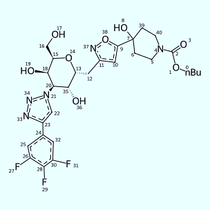 CCCCOC(=O)N1CCC(O)(c2cc(C[C@H]3O[C@H](CO)[C@H](O)[C@H](n4cc(-c5cc(F)c(F)c(F)c5)nn4)[C@H]3O)no2)CC1